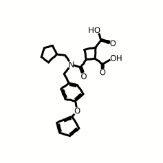 O=C(O)C1CC(C(=O)N(Cc2ccc(Oc3ccccc3)cc2)CC2CCCC2)C1C(=O)O